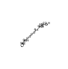 O=C(CCC1CC1C(=O)CCOCCOCCOCCOCCNC(=O)OC[C@@H]1[C@@H]2CCC#CCC[C@@H]21)NCC(=O)N[C@@H](Cc1ccccc1)C(=O)O